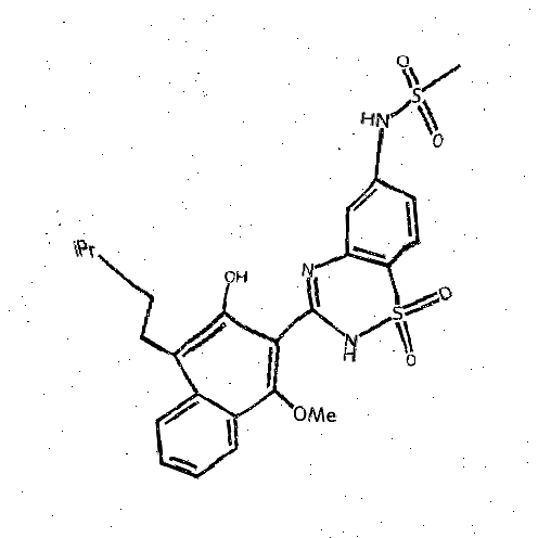 COc1c(C2=Nc3cc(NS(C)(=O)=O)ccc3S(=O)(=O)N2)c(O)c(CCC(C)C)c2ccccc12